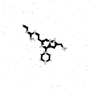 C=C/N=C(N)\N=C/Cc1cn2nc(CO)cc2c(N2CCOCC2)n1